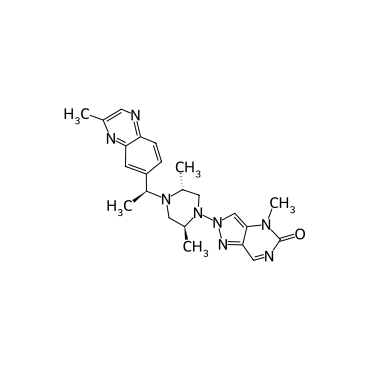 Cc1cnc2ccc([C@H](C)N3C[C@H](C)N(n4cc5c(cnc(=O)n5C)n4)C[C@H]3C)cc2n1